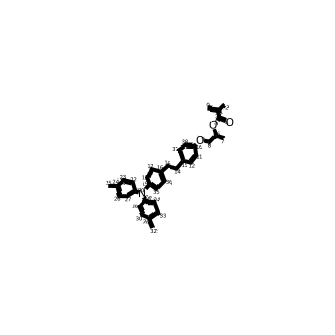 C=C(C)C(=O)OC(C)COc1ccc(CCc2ccc(N(c3ccc(C)cc3)c3ccc(C)cc3)cc2)cc1